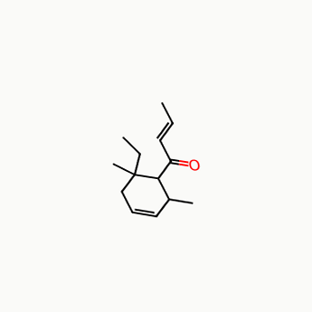 CC=CC(=O)C1C(C)C=CCC1(C)CC